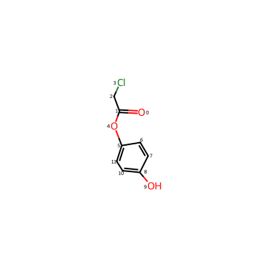 O=C(CCl)Oc1ccc(O)cc1